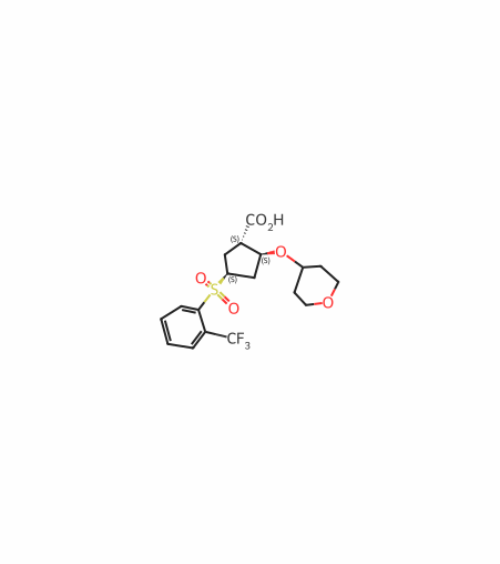 O=C(O)[C@H]1C[C@H](S(=O)(=O)c2ccccc2C(F)(F)F)C[C@@H]1OC1CCOCC1